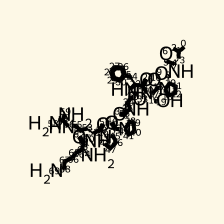 CC(C)C[C@@H](C=O)NC(=O)[C@@H]1CCCN1C(=O)[C@H](CO)NC(=O)[C@H](Cc1ccccc1)NC(=O)CNC(=O)[C@@H]1CCCN1C(=O)[C@@H]1CCCN1C(=O)[C@H](CCCNC(N)N)NC(=O)[C@@H](N)CCCCN